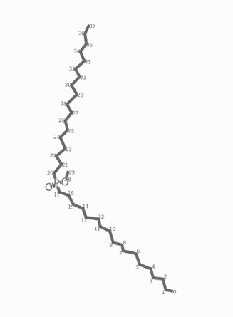 CCCCCCCCCCCCCCCCCCP(=O)(CCCCCCCCCCCCCCCCCC)OC